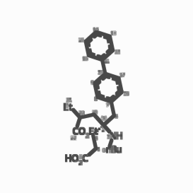 CCCCN[C@](CCC(=O)O)(Cc1ccc(-c2ccccc2)cc1)CC(CC)C(=O)OCC